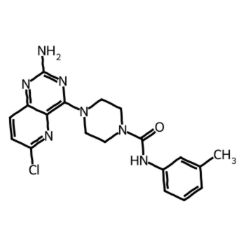 Cc1cccc(NC(=O)N2CCN(c3nc(N)nc4ccc(Cl)nc34)CC2)c1